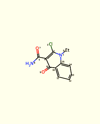 CCn1c(Cl)c(C(N)=O)c(=O)c2ccccc21